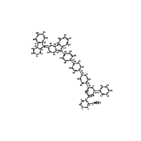 N#Cc1ccccc1-c1nc(-c2ccccc2)cc(-c2ccc(-c3ccc(-c4ccc(-n5c6ccccc6c6cc(-n7c8ccccc8c8ccccc87)ccc65)cc4)cc3)cc2)n1